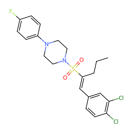 CCC/C(=C\c1ccc(Cl)c(Cl)c1)S(=O)(=O)N1CCN(c2ccc(F)cc2)CC1